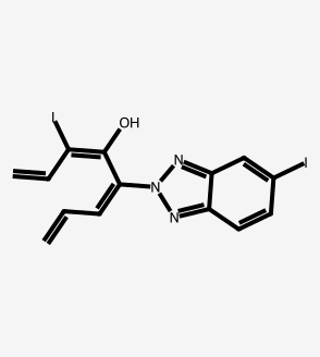 C=C/C=C(\C(O)=C(\I)C=C)n1nc2ccc(I)cc2n1